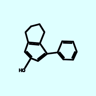 Oc1cc2c(c(-c3ccccc3)c1)CCCC2